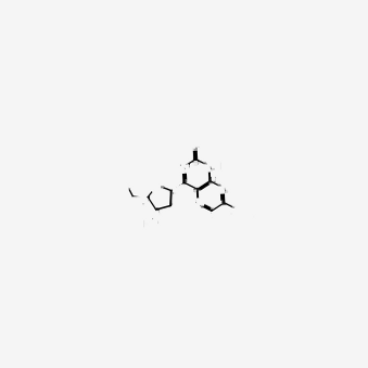 Cc1cnc2c([C@H]3C[C@H](O)[C@@H](CO)O3)nc(=O)[nH]c2n1